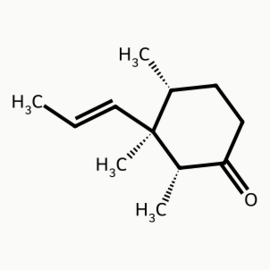 C/C=C/[C@@]1(C)[C@H](C)CCC(=O)[C@@H]1C